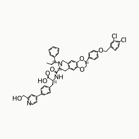 CC[C@@H](c1ccccc1)N1Cc2cc3c(cc2C[C@H]1C(=O)N[C@@H](Cc1ccc(-c2ccnc(CO)c2)cc1)C(=O)O)OC[C@H](c1ccc(OCc2ccc(Cl)c(Cl)c2)cc1)O3